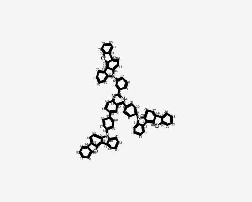 c1cc(-c2nc(-c3ccc(-n4c5ccccc5c5c6oc7ccccc7c6ccc54)cc3)c3cc(-c4ccc(-n5c6ccccc6c6c7oc8ccccc8c7ccc65)cc4)ccc3n2)cc(-n2c3ccccc3c3c4oc5ccccc5c4ccc32)c1